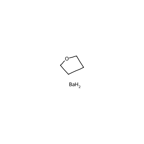 C1CCOC1.[BaH2]